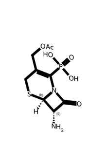 CC(=O)OCC1=C(P(=O)(O)O)N2C(=O)[C@H](N)[C@H]2SC1